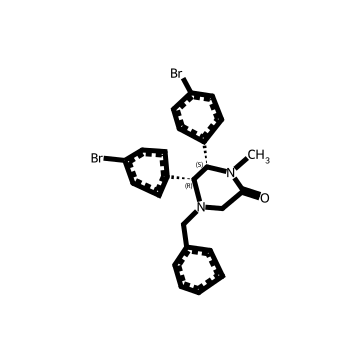 CN1C(=O)CN(Cc2ccccc2)[C@H](c2ccc(Br)cc2)[C@@H]1c1ccc(Br)cc1